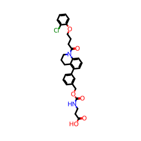 O=C(O)CCNC(=O)OCc1cccc(-c2cccc3c2CCCN3C(=O)CCCOc2ccccc2Cl)c1